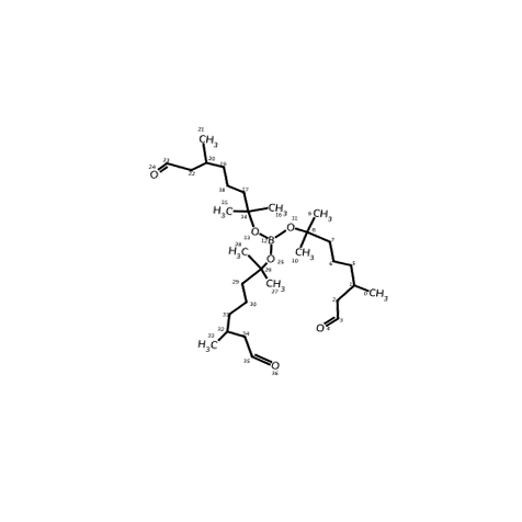 CC(CC=O)CCCC(C)(C)OB(OC(C)(C)CCCC(C)CC=O)OC(C)(C)CCCC(C)CC=O